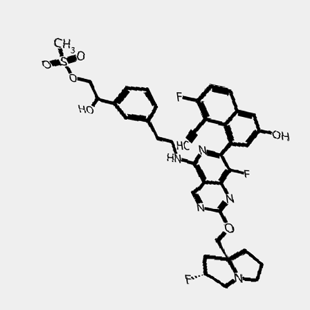 C#Cc1c(F)ccc2cc(O)cc(-c3nc(NCCc4cccc(C(O)COS(C)(=O)=O)c4)c4cnc(OC[C@@]56CCCN5C[C@H](F)C6)nc4c3F)c12